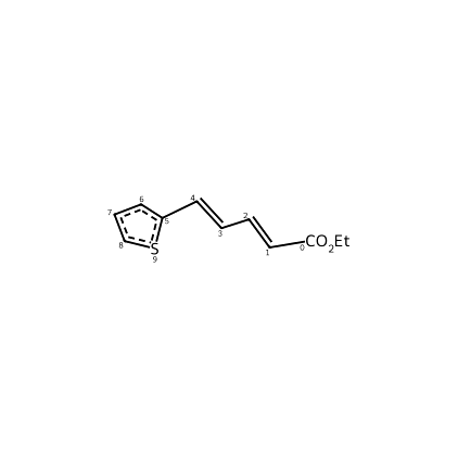 CCOC(=O)/C=C/C=C/c1cccs1